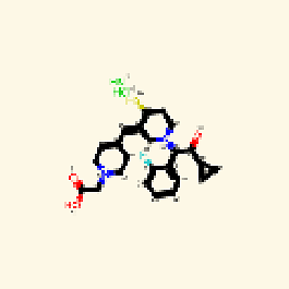 Cl.Cl.O=C(O)CN1CCC(C=C2CN(C(C(=O)C3CC3)c3ccccc3F)CCC2S)CC1